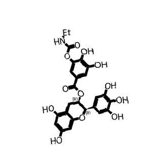 CCNC(=O)Oc1cc(C(=O)O[C@@H]2Cc3c(O)cc(O)cc3O[C@@H]2c2cc(O)c(O)c(O)c2)cc(O)c1O